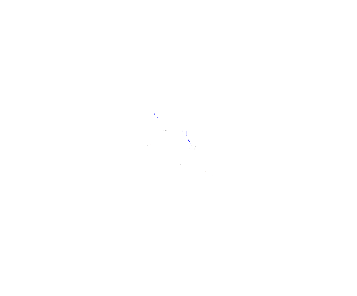 CN(C(N)=O)[C@@H]1CCSC1